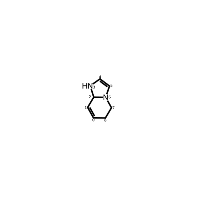 C1=CC2NC=CN2CC1